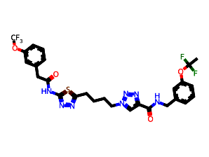 CC(F)(F)Oc1cccc(CNC(=O)c2cn(CCCCc3nnc(NC(=O)Cc4cccc(OC(F)(F)F)c4)s3)nn2)c1